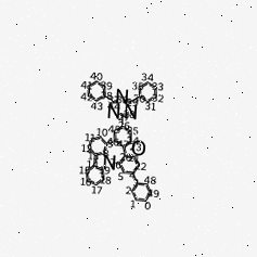 c1ccc(-c2cc(-n3c4ccccc4c4ccccc43)c3c(c2)oc2cc(-c4nc(-c5ccccc5)nc(-c5ccccc5)n4)ccc23)cc1